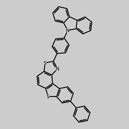 c1ccc(-c2ccc3c(c2)sc2ccc4sc(-c5ccc(-n6c7ccccc7c7ccccc76)cc5)nc4c23)cc1